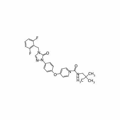 CC(C)(C)CNC(=O)[n+]1ccc(Oc2ccc(-n3ncn(Cc4c(F)cccc4F)c3=O)cc2)cc1